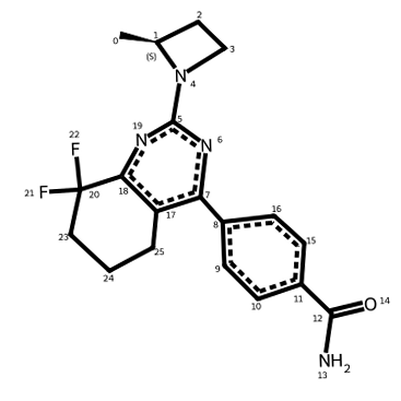 C[C@H]1CCN1c1nc(-c2ccc(C(N)=O)cc2)c2c(n1)C(F)(F)CCC2